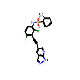 O=S(=O)(Nc1ccc(F)c(C#Cc2cnc3[nH]ncc3c2)c1F)c1ccccc1C(F)(F)F